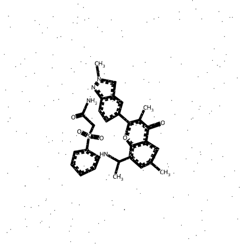 Cc1cc(C(C)Nc2ccccc2S(=O)(=O)CC(N)=O)c2oc(-c3ccc4nn(C)cc4c3)c(C)c(=O)c2c1